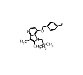 Cc1c(C)n(CC(C)C)c2c(OCc3ccc(F)cc3)ccnc12